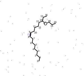 CCCCCCCC/C=C\CCCCC(CC)OCCC